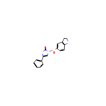 O=c1[nH]c(-c2ccccc2)cn1S(=O)(=O)c1ccc2c(c1)CCN2